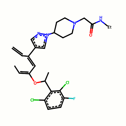 C=C/C(=C\C(=C/C)OC(C)c1c(Cl)ccc(F)c1Cl)c1cnn(C2CCN(CC(=O)NCC)CC2)c1